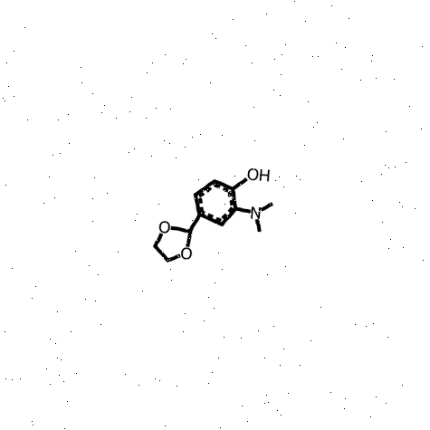 CN(C)c1cc(C2OCCO2)ccc1O